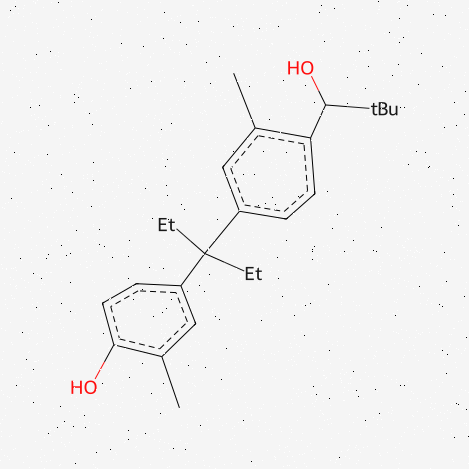 CCC(CC)(c1ccc(O)c(C)c1)c1ccc(C(O)C(C)(C)C)c(C)c1